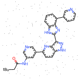 CC(C)(C)CC(=O)Nc1cncc(-c2ccc3[nH]nc(-c4nc5c(-c6cccnc6)cccc5[nH]4)c3n2)c1